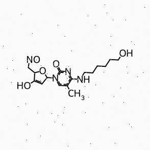 Cc1cn(C2C=C(O)C(CN=O)O2)c(=O)nc1NCCCCCCO